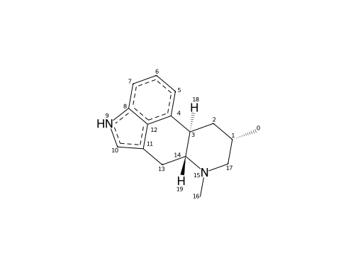 C[C@H]1C[C@@H]2c3cccc4[nH]cc(c34)C[C@H]2N(C)C1